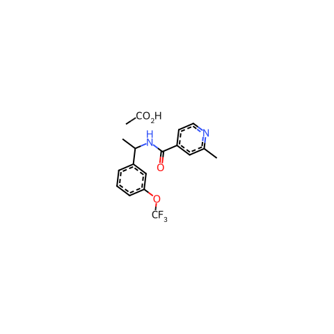 CC(=O)O.Cc1cc(C(=O)NC(C)c2cccc(OC(F)(F)F)c2)ccn1